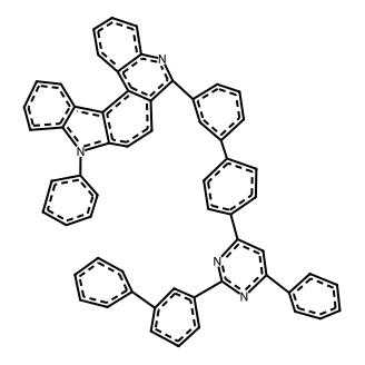 c1ccc(-c2cccc(-c3nc(-c4ccccc4)cc(-c4ccc(-c5cccc(-c6nc7ccccc7c7c6ccc6c7c7ccccc7n6-c6ccccc6)c5)cc4)n3)c2)cc1